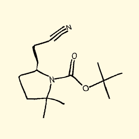 CC(C)(C)OC(=O)N1[C@H](CC#N)CCC1(C)C